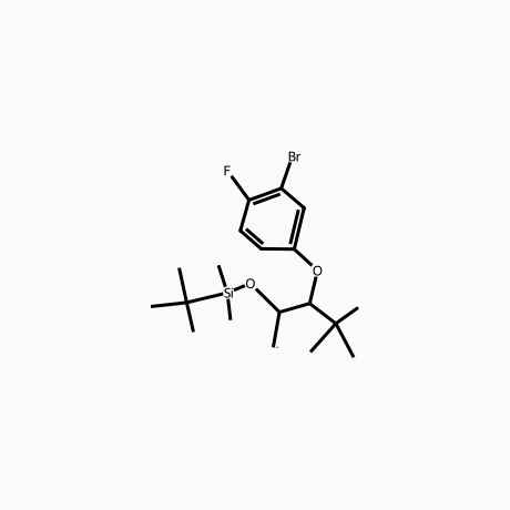 [CH2]C(O[Si](C)(C)C(C)(C)C)C(Oc1ccc(F)c(Br)c1)C(C)(C)C